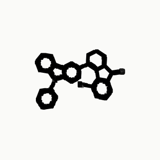 O=C1C2=CCCC(c3ccc4c(c3)c3ccccc3n4-c3ccccc3)=C2c2c(Br)cccc21